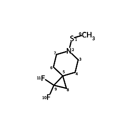 CSN1CCC2(CC1)CC2(F)F